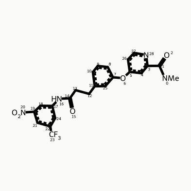 CNC(=O)c1cc(Oc2cccc(CCC(=O)Nc3cc([N+](=O)[O-])cc(C(F)(F)F)c3)c2)ccn1